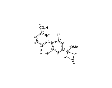 COC1(c2cc(F)c(-c3nc(C(=O)O)ccc3F)c(F)c2)COC1